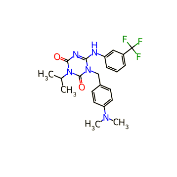 CC(C)n1c(=O)nc(Nc2cccc(C(F)(F)F)c2)n(Cc2ccc(N(C)C)cc2)c1=O